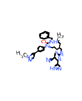 CCCC(/C=N\c1ncc(C#N)c(-c2cn[nH]c2)n1)CCCN(C(=O)NCc1ccccc1)c1ccc(-c2cnn(C)c2)cc1